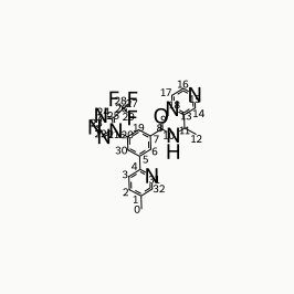 Cc1ccc(-c2cc(C(=O)NC(C)c3cnccn3)cc(-n3nnnc3C(F)(F)F)c2)nc1